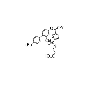 CCCC(Oc1ccc(-c2ccc(C(C)(C)C)cc2)c(C)c1)c1ccc(C(=O)NCCC(=O)O)s1